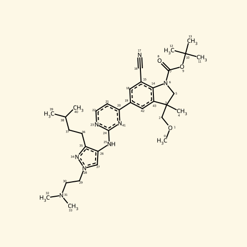 COCC1(C)CN(C(=O)OC(C)(C)C)c2c(C#N)cc(-c3ccnc(Nc4cn(CCN(C)C)nc4CCC(C)C)n3)cc21